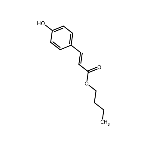 CCCCOC(=O)/C=C/c1ccc(O)cc1